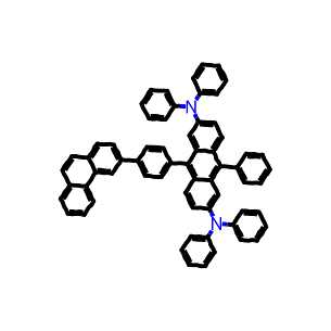 c1ccc(-c2c3ccc(N(c4ccccc4)c4ccccc4)cc3c(-c3ccc(-c4ccc5ccc6ccccc6c5c4)cc3)c3ccc(N(c4ccccc4)c4ccccc4)cc23)cc1